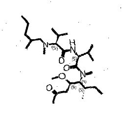 CCCC(C)CN(C)[C@H](C(=O)N[C@H](C(=O)N(C)[C@@H]([C@@H](C)CC)[C@@H](CC(C)=O)OC)C(C)C)C(C)C